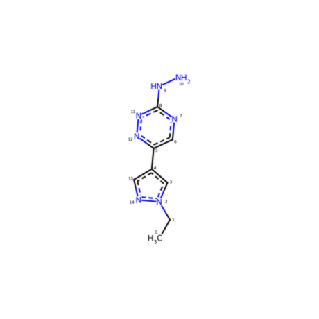 CCn1cc(-c2cnc(NN)nn2)cn1